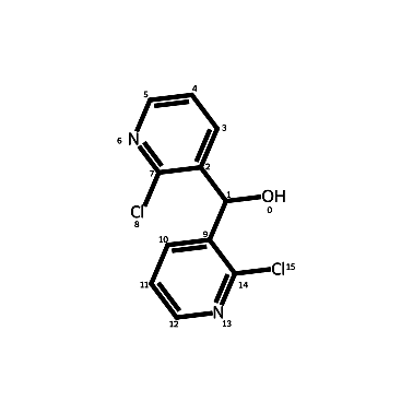 OC(c1cccnc1Cl)c1cccnc1Cl